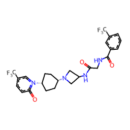 O=C(CNC(=O)c1cccc(C(F)(F)F)c1)NC1CN([C@H]2CC[C@@H](n3cc(C(F)(F)F)ccc3=O)CC2)C1